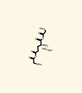 CCCCCCCCCCCC(=O)OC(=O)CC[C@H](N)C(=O)OC(=O)CCCCCCCCCCC.[NaH].[NaH]